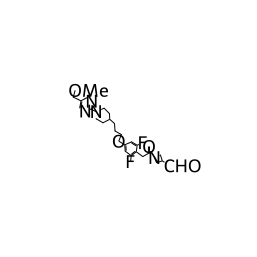 COCc1cnc(N2CCC(CCCOc3cc(F)c(CC(=O)N4CC(C=O)C4)c(F)c3)CC2)nc1